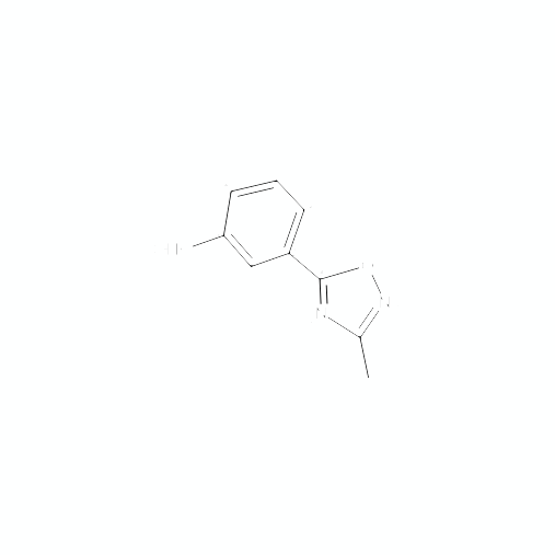 Cc1noc(-c2cccc(C=O)c2)n1